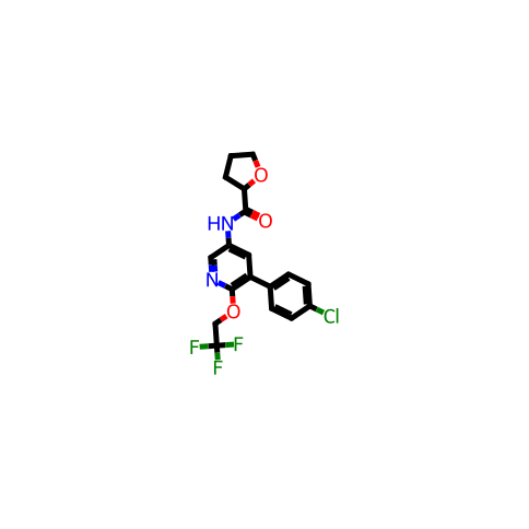 O=C(Nc1cnc(OCC(F)(F)F)c(-c2ccc(Cl)cc2)c1)C1CCCO1